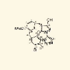 COc1ccc(/C=C2\C(=O)N(c3nnn[nH]3)N=C2O)cc1Cc1ccc(F)c(Cl)c1